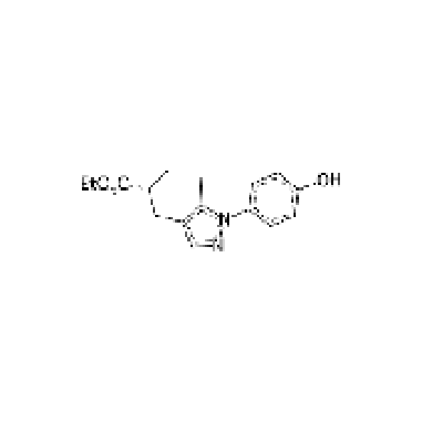 CCOC(=O)[C@H](C)Cc1cnn(-c2ccc(O)cc2)c1C